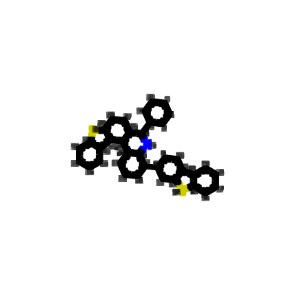 c1ccc(-c2nc3c(-c4ccc5c(c4)sc4ccccc45)cccc3c3c2ccc2sc4ccccc4c23)cc1